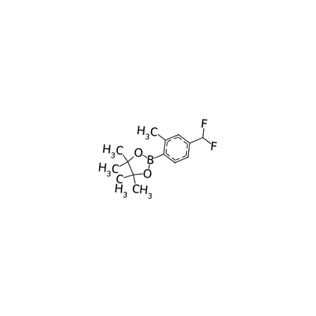 Cc1cc(C(F)F)ccc1B1OC(C)(C)C(C)(C)O1